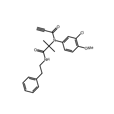 C#CC(=O)N(c1ccc(OC)c(Cl)c1)C(C)(C)C(=O)NCCc1ccccc1